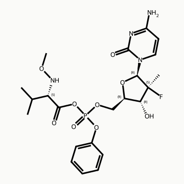 CON[C@H](C(=O)OP(=O)(OC[C@H]1O[C@@H](n2ccc(N)nc2=O)[C@@](C)(F)[C@@H]1O)Oc1ccccc1)C(C)C